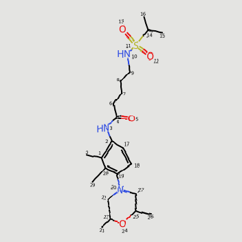 Cc1c(NC(=O)CCCCNS(=O)(=O)C(C)C)ccc(N2CC(C)OC(C)C2)c1C